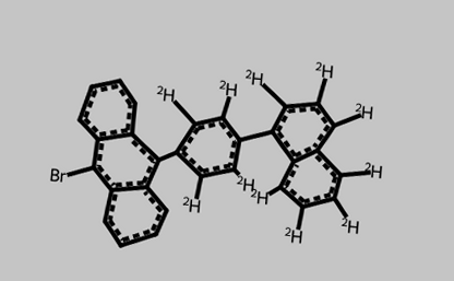 [2H]c1c([2H])c(-c2c([2H])c([2H])c([2H])c3c([2H])c([2H])c([2H])c([2H])c23)c([2H])c([2H])c1-c1c2ccccc2c(Br)c2ccccc12